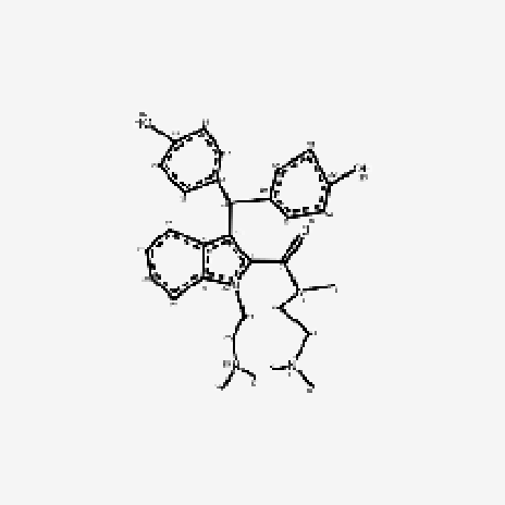 CN(C)CCN(C)C(=O)c1c(C(c2ccc(O)cc2)c2ccc(O)cc2)c2ccccc2n1CCN(C)C